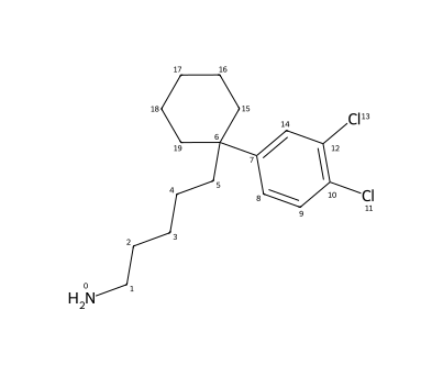 NCCCCCC1(c2ccc(Cl)c(Cl)c2)CCCCC1